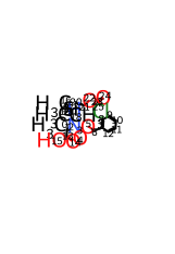 CC(NC(=O)OCc1ccccc1)C(=O)O.C[Si](C)(C)CCOC(=O)Cl